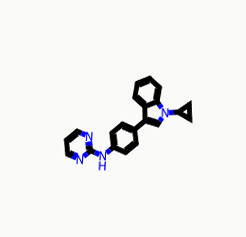 c1cnc(Nc2ccc(-c3cn(C4CC4)c4ccccc34)cc2)nc1